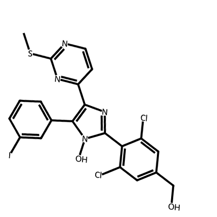 CSc1nccc(-c2nc(-c3c(Cl)cc(CO)cc3Cl)n(O)c2-c2cccc(I)c2)n1